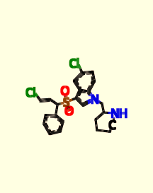 O=S(=O)(c1cn(CC2CCCCN2)c2ccc(Cl)cc12)C(C=CCl)c1ccccc1